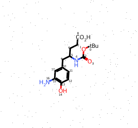 CC(C)(C)OC(=O)NC(CCC(=O)O)Cc1ccc(O)c(N)c1